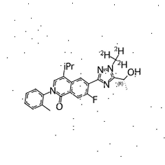 [2H]C([2H])([2H])n1nc(-c2cc3c(C(C)C)cn(-c4ccccc4C)c(=O)c3cc2F)nc1[C@@H](C)O